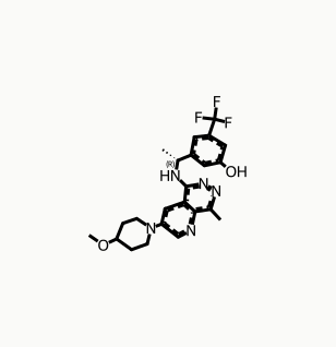 COC1CCN(c2cnc3c(C)nnc(N[C@H](C)c4cc(O)cc(C(F)(F)F)c4)c3c2)CC1